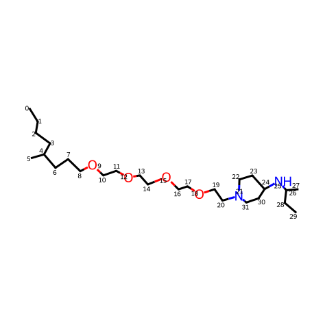 CCCCC(C)CCCOCCOCCOCCOCCN1CCC(NC(C)CC)CC1